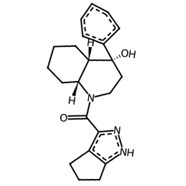 O=C(c1n[nH]c2c1CCC2)N1CC[C@](O)(c2ccccc2)[C@H]2CCCC[C@H]21